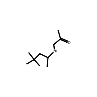 CC(=O)CNC(C)CC(C)(C)C